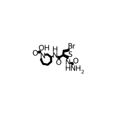 NC(=O)Nc1sc(Br)cc1C(=O)N[C@H]1CCCCN(C(=O)O)C1